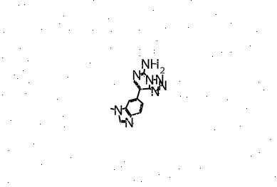 Cn1cnc2ccc(-c3cnc(N)n4nnnc34)cc21